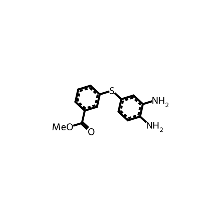 COC(=O)c1cccc(Sc2ccc(N)c(N)c2)c1